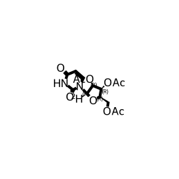 [2H][C@@]1(n2ccc(=O)[nH]c2=O)O[C@H](COC(C)=O)[C@@H](OC(C)=O)[C@H]1OC(C)=O